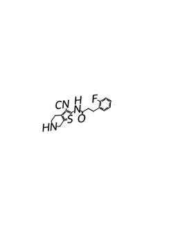 N#Cc1c(NC(=O)CCc2ccccc2F)sc2c1CCNC2